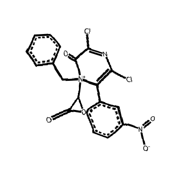 O=C1OC1[N+]1(Cc2ccccc2)C(=O)C(Cl)=NC(Cl)=C1c1cccc([N+](=O)[O-])c1